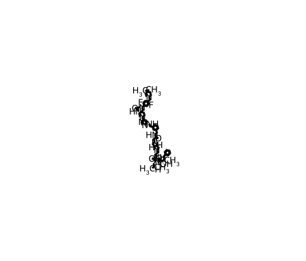 CC(C)C[C@H](NC(=O)[C@@H](O)[C@H](C)Cc1ccccc1)C(=O)NCCN1C[C@@H]2CN(CC(=O)NCc3cccc(CNc4cc(N5CCC6(CC5)CN(c5cc(F)c(CN7CCC(C)(C)CC7)cc5F)CC(=O)N6)ncn4)c3)C[C@@H]2C1